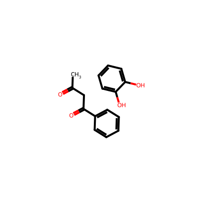 CC(=O)CC(=O)c1ccccc1.Oc1ccccc1O